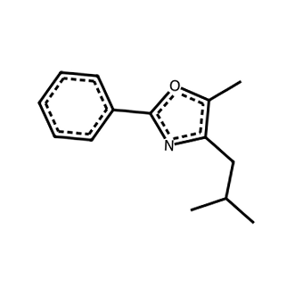 Cc1oc(-c2ccccc2)nc1CC(C)C